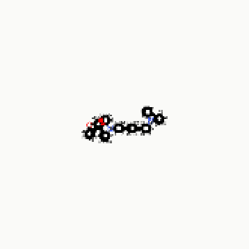 c1ccc(N(c2ccc(-c3ccc(-c4cccc(-n5c6ccccc6c6ccccc65)c4)cc3)cc2)c2ccccc2-c2cccc3oc4ccccc4c23)cc1